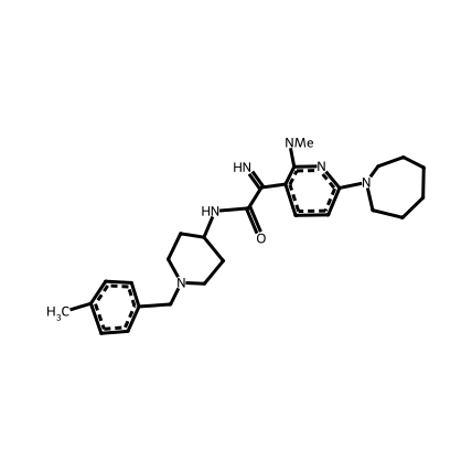 CNc1nc(N2CCCCCC2)ccc1C(=N)C(=O)NC1CCN(Cc2ccc(C)cc2)CC1